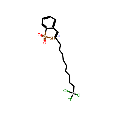 O=S(=O)(S)c1ccccc1/C=C/CCCCCCCCC[Si](Cl)(Cl)Cl